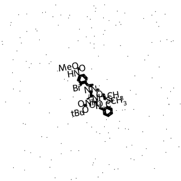 COC(=O)Nc1ccc(-c2cn(COCC[Si](C)(C)C)c([C@H](CNC(=O)OC(C)(C)C)NC(=O)OCc3ccccc3)n2)c(Br)c1